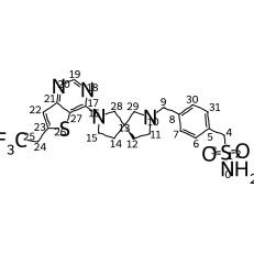 NS(=O)(=O)Cc1ccc(CN2CC[C@]3(CCN(c4ncnc5cc(CC(F)(F)F)sc45)C3)C2)cc1